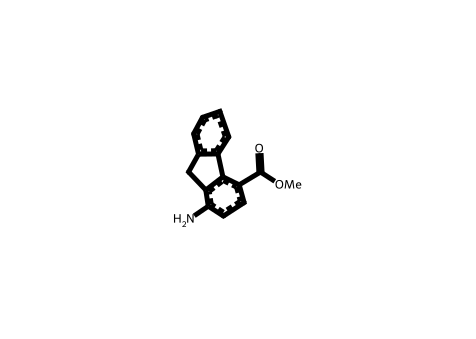 COC(=O)c1ccc(N)c2c1-c1ccccc1C2